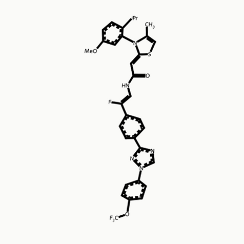 COc1ccc(C(C)C)c(N2C(C)=CS/C2=C\C(=O)N/C=C(\F)c2ccc(-c3ncn(-c4ccc(OC(F)(F)F)cc4)n3)cc2)c1